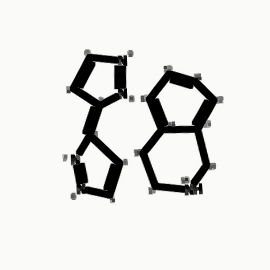 C1=CC(=C2C=CN=N2)N=N1.c1ccc2c(c1)CCNC2